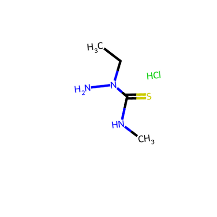 CCN(N)C(=S)NC.Cl